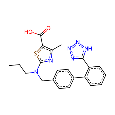 CCCN(Cc1ccc(-c2ccccc2-c2nnn[nH]2)cc1)c1nc(C)c(C(=O)O)s1